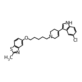 Cc1nc2cc(OCCCCCN3CC=C(c4c[nH]c5ccc(Cl)cc45)CC3)ccc2s1